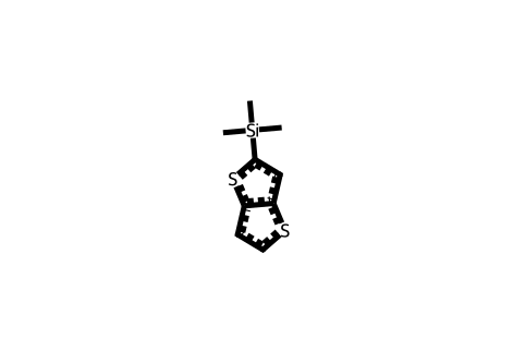 C[Si](C)(C)c1cc2sccc2s1